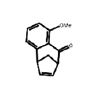 COc1cccc2c1C(=O)C1C=CC2C1